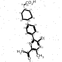 CCc1nc(C)c(C(N)=O)nc1-c1ccc([C@H]2CC[C@@H](CC(=O)O)CC2)cc1